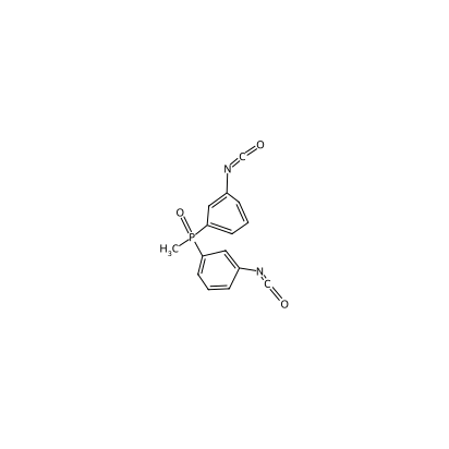 CP(=O)(c1cccc(N=C=O)c1)c1cccc(N=C=O)c1